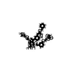 CNc1nc(OCc2cccc(OCCOS(C)(=O)=O)c2)c2c(-c3ccc4ncc(OCc5ccccc5)cc4c3)cn(COCC[Si](C)(C)C)c2n1